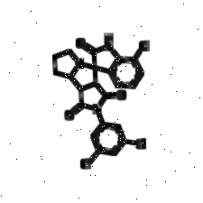 O=C1C2C3CCCN3C3(C(=O)Nc4c(Cl)cccc43)C2C(=O)N1c1cc(Cl)cc(Cl)c1